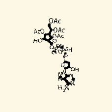 CC(=O)OC[C@H](OC(C)=O)C1C(OC(C)=O)C(O)C2C(OP(=O)(O)OP(=O)(S)OC[C@@H]3C[C@@H](O)[C@H](n4nnc5c(N)ncnc54)O3)OC21OC(C)=O